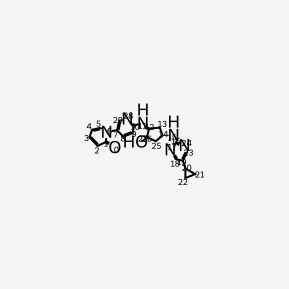 O=c1ccccn1-c1ccc(N[C@H]2C[C@H](Nc3ncc(C4CC4)cn3)C[C@H]2O)nc1